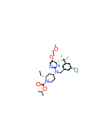 CC[C@@H]1C[C@H](N(Cc2cc(Cl)cc(C(F)(F)F)c2)c2ncc(OCCOC)cn2)CCN1C(=O)OC(C)C